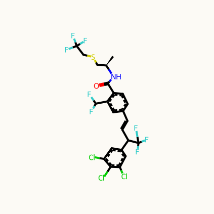 C[C@H](CSCC(F)(F)F)NC(=O)c1ccc(/C=C/C(c2cc(Cl)c(Cl)c(Cl)c2)C(F)(F)F)cc1C(F)F